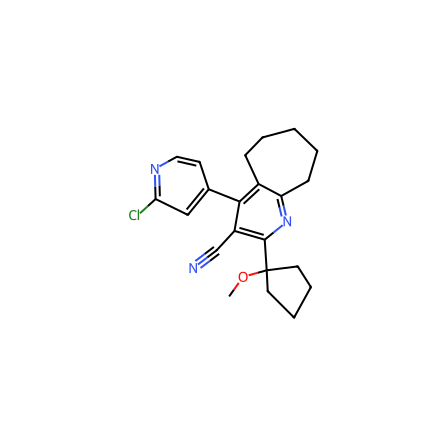 COC1(c2nc3c(c(-c4ccnc(Cl)c4)c2C#N)CCCCC3)CCCC1